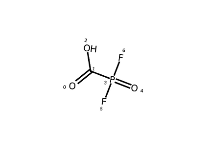 O=C(O)P(=O)(F)F